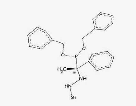 C[C@](NNS)(c1ccccc1)P(OCc1ccccc1)OCc1ccccc1